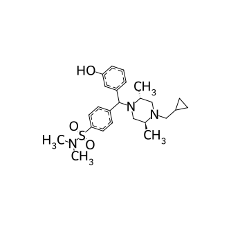 C[C@@H]1CN(CC2CC2)[C@@H](C)CN1C(c1ccc(S(=O)(=O)N(C)C)cc1)c1cccc(O)c1